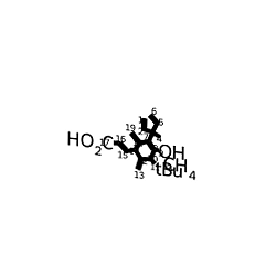 C.C=CC(C)(C=C)C1=C(O)C(C(C)(C)C)C(=C)C(C=CC(=O)O)C1=C